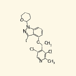 Cc1ncc(Cl)c([C@@H](C)Oc2cccc3c2c(I)nn3C2CCCCO2)c1Cl